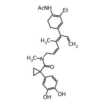 C=C/C(C1=CC(CC)=C(NC(C)=O)CC1)=C(C)\C=C/CN(C)C(=O)C1(c2ccc(O)c(O)c2)CC1